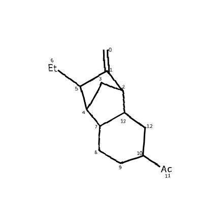 C=C1C2CC(C1CC)C1CCC(C(C)=O)CC21